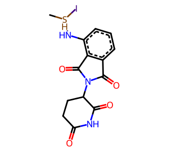 C[SH](I)Nc1cccc2c1C(=O)N(C1CCC(=O)NC1=O)C2=O